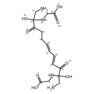 NCC(O)(NCC(=O)O)C(=O)/C=C/C=C/CCC(=O)C(O)(CN)NCC(=O)O